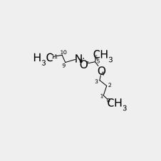 CCCCOC(C)O[N]CCC